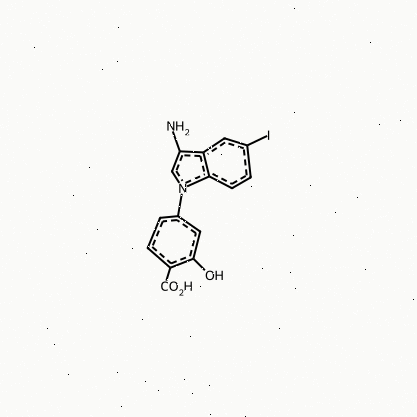 Nc1cn(-c2ccc(C(=O)O)c(O)c2)c2ccc(I)cc12